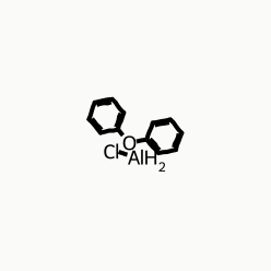 [AlH2][Cl].c1ccc(Oc2ccccc2)cc1